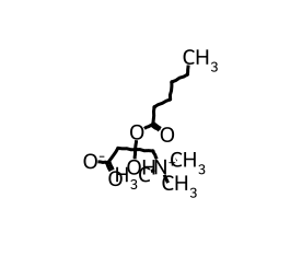 CCCCCC(=O)OC(O)(CC(=O)[O-])C[N+](C)(C)C